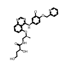 C[C@@H](CNC(=O)[C@@H](O)CCO)Oc1cccc2ncnc(Nc3ccc(OCc4ccccn4)c(Cl)c3)c12